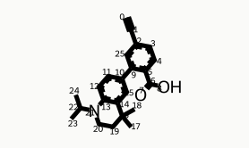 C#Cc1ccc(C(=O)O)c(-c2ccc3c(c2)C(C)(C)CCN3C(C)C)c1